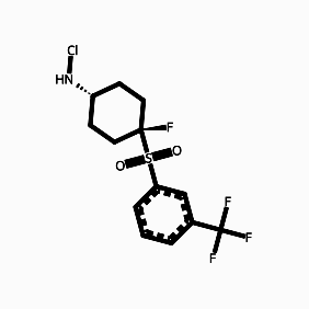 O=S(=O)(c1cccc(C(F)(F)F)c1)[C@]1(F)CC[C@H](NCl)CC1